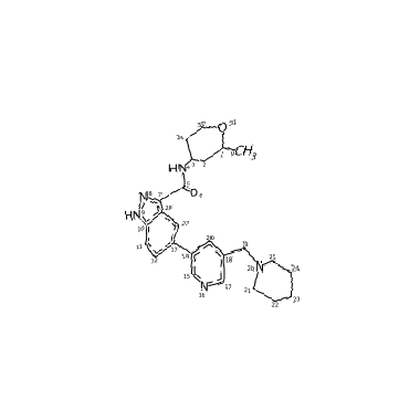 CC1CC(NC(=O)c2n[nH]c3ccc(-c4cncc(CN5CCCCC5)c4)cc23)CCO1